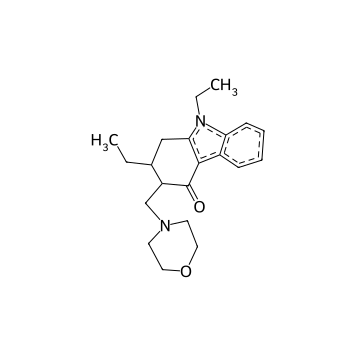 CCC1Cc2c(c3ccccc3n2CC)C(=O)C1CN1CCOCC1